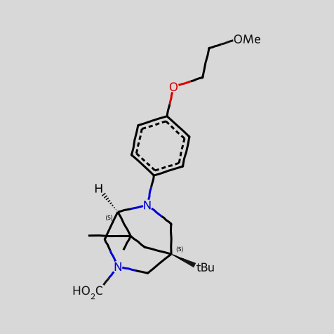 COCCOc1ccc(N2C[C@]3(C(C)(C)C)CN(C(=O)O)C[C@@H]2C(C)(C)C3)cc1